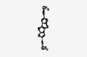 CC#Cc1cc2c(s1)sc1c3cc(C#CC)sc3sc21